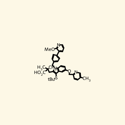 COc1ncccc1-c1ccc(Cn2c(CC(C)(C)C(=O)O)c(SC(C)(C)C)c3cc(OCc4ccc(C)cn4)ccc32)cc1